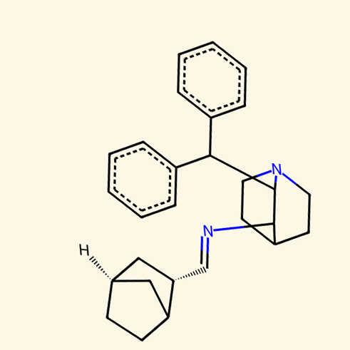 C(=NC1C2CCN(CC2)C1C(c1ccccc1)c1ccccc1)[C@H]1C[C@@H]2CCC1C2